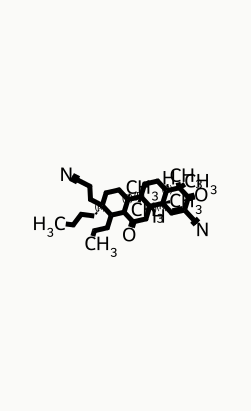 CCCC[C@]1(CCC#N)CC[C@]2(C)C(C(=O)C[C@@H]3[C@@]4(C)C=C(C#N)C(=O)C(C)(C)[C@@H]4CC[C@]32C)C1CCC